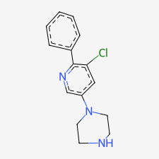 Clc1cc(N2CCNCC2)cnc1-c1ccccc1